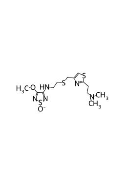 COc1n[s+]([O-])nc1NCCSCc1csc(CCN(C)C)n1